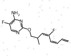 C=C/C=C\C(F)=C/C(C)COc1ncc(F)c(N)n1